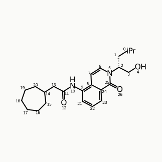 CC(C)C[C@H](CO)n1ccc2c(NC(=O)CC3CCCCCC3)cccc2c1=O